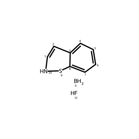 B.C1=Cc2ccccc2SN1.F